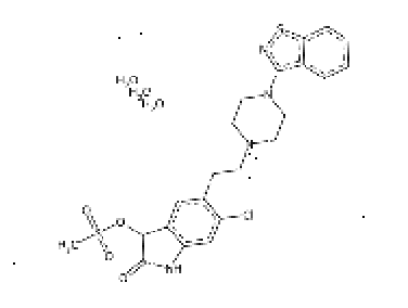 CS(=O)(=O)OC1C(=O)Nc2cc(Cl)c(CCN3CCN(c4nsc5ccccc45)CC3)cc21.O.O.O